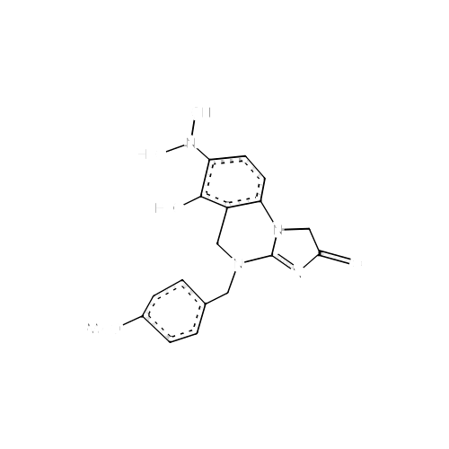 COc1ccc(CN2Cc3c(ccc(N(C)C)c3C)N3CC(=O)N=C23)cc1